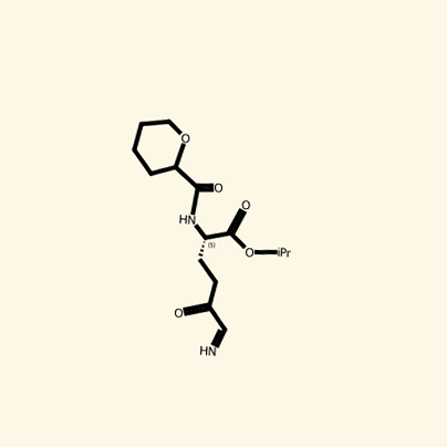 CC(C)OC(=O)[C@H](CCC(=O)C=N)NC(=O)C1CCCCO1